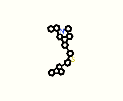 c1ccc(-n2c3ccc4ccccc4c3c3ccc4c5ccc(-c6ccc7sc8ccc(-c9ccc%10c%11c(cccc9%11)-c9ccccc9-%10)cc8c7c6)cc5c5ccccc5c4c32)cc1